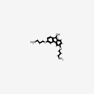 NCCCOc1ccc2c(c1)-c1cc(OCCCN)ccc1C2O